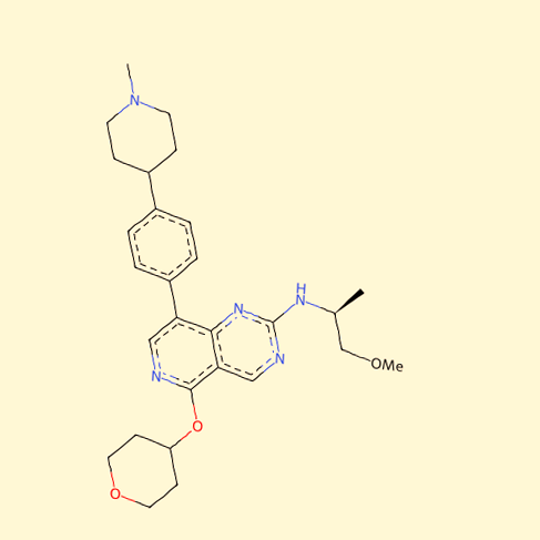 COC[C@H](C)Nc1ncc2c(OC3CCOCC3)ncc(-c3ccc(C4CCN(C)CC4)cc3)c2n1